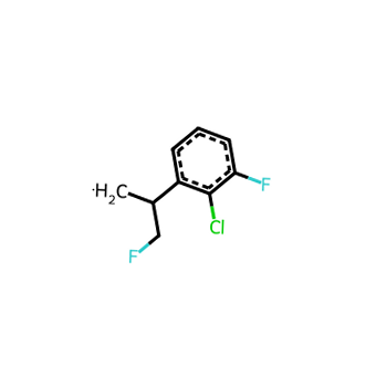 [CH2]C(CF)c1cccc(F)c1Cl